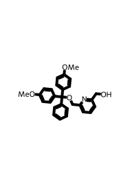 COc1ccc(C(OCc2cccc(CO)n2)(c2ccccc2)c2ccc(OC)cc2)cc1